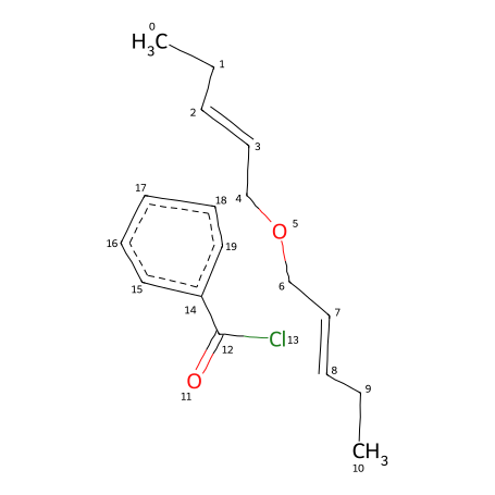 CCC=CCOCC=CCC.O=C(Cl)c1ccccc1